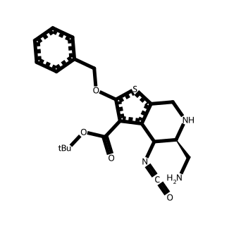 CC(C)(C)OC(=O)c1c(OCc2ccccc2)sc2c1C(N=C=O)[C@H](CN)NC2